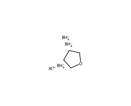 C1CCOC1.[Al+3].[BH4-].[BH4-].[BH4-]